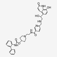 O=C(Nc1ccccc1-c1ccccc1)OC1CCN(CCNC(=O)c2ccc(CNCC(O)c3ccc(O)c4[nH]c(=O)ccc34)nc2)CC1